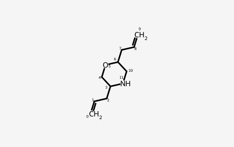 C=CCC1COC(CC=C)CN1